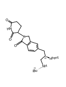 CCCCC[C@@H](CN[C@@H](C)CC)Cc1ccc2c(c1)CN(C1CCC(=O)NC1=O)C2=O